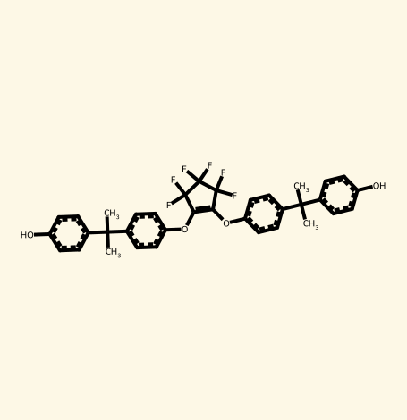 CC(C)(c1ccc(O)cc1)c1ccc(OC2=C(Oc3ccc(C(C)(C)c4ccc(O)cc4)cc3)C(F)(F)C(F)(F)C2(F)F)cc1